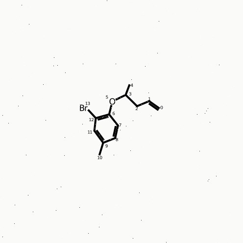 C=CCC(C)Oc1ccc(C)cc1Br